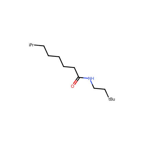 CC(C)CCCCCC(=O)NCCC(C)(C)C